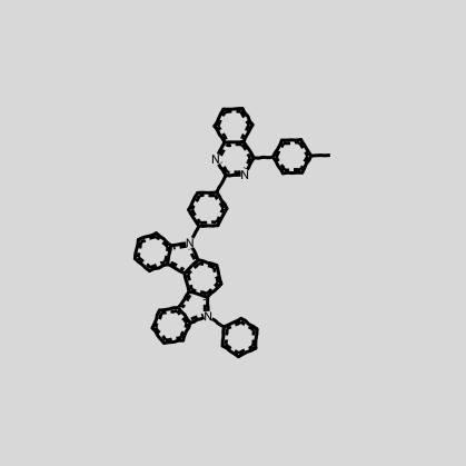 Cc1ccc(-c2nc(-c3ccc(-n4c5ccccc5c5c6c7ccccc7n(-c7ccccc7)c6ccc54)cc3)nc3ccccc23)cc1